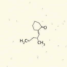 C=CCC(C)C=C1CCCCC1=O